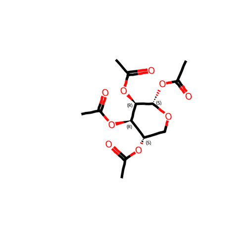 CC(=O)O[C@@H]1OC[C@H](OC(C)=O)[C@@H](OC(C)=O)[C@H]1OC(C)=O